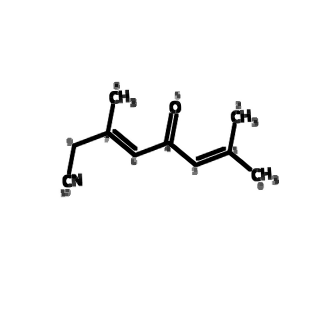 CC(C)=CC(=O)C=C(C)CC#N